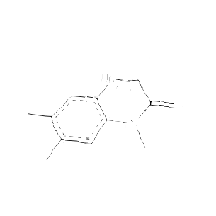 Cc1cc2c(cc1C)N(C)C(=O)[C@@H](C)N2